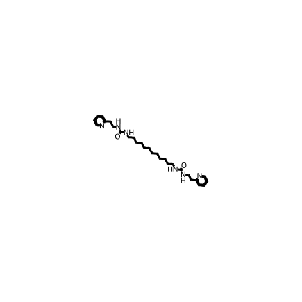 O=C(NCCCCCCCCCCCCNC(=O)NCCc1ccccn1)NCCc1ccccn1